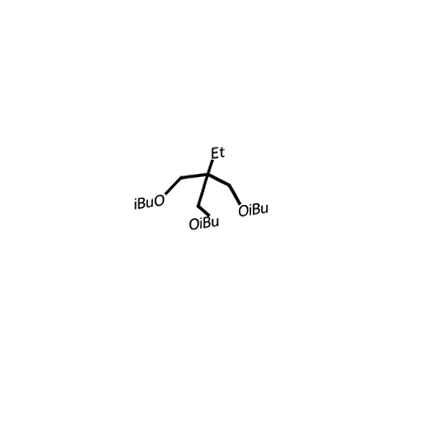 CCC(COCC(C)C)(COCC(C)C)COCC(C)C